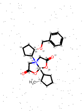 C[C@H]1CCCC1[B-]12OC(=O)C[N+]1([C@H]1CCC[C@@H]1OCc1ccccc1)CC(=O)O2